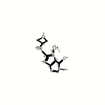 CC(C)n1cnc2nc(NC3COC3)n(C)c2c1=O